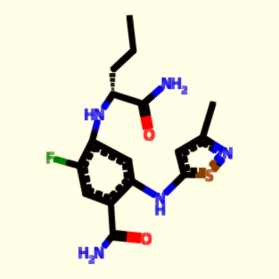 CCC[C@@H](Nc1cc(Nc2cc(C)ns2)c(C(N)=O)cc1F)C(N)=O